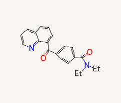 CCN(CC)C(=O)c1ccc(C(=O)c2cccc3cccnc23)cc1